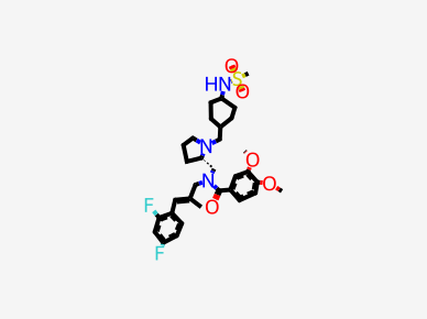 COc1ccc(C(=O)N(C/C(C)=C/c2ccc(F)cc2F)C[C@@H]2CCCN2CC2CCC(NS(C)(=O)=O)CC2)cc1OC